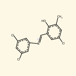 Cc1cc(Cl)cc(/C=N/c2cc(Cl)cc(Cl)c2)c1O